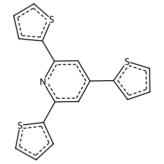 c1csc(-c2cc(-c3cccs3)nc(-c3cccs3)c2)c1